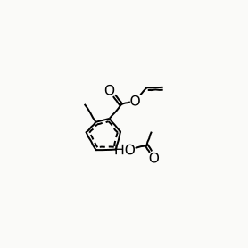 C=COC(=O)c1ccccc1C.CC(=O)O